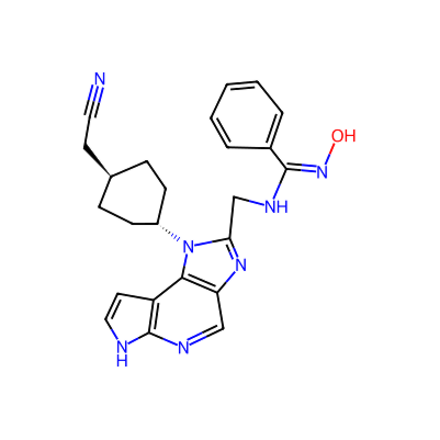 N#CC[C@H]1CC[C@H](n2c(CN/C(=N/O)c3ccccc3)nc3cnc4[nH]ccc4c32)CC1